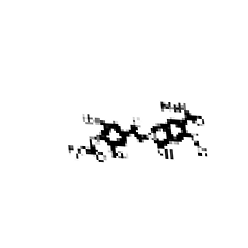 CCOc1cc2c(cc1C(=O)NC)CN(CC(=O)c1cc(C(C)(C)C)c(OC(=O)C(F)(F)F)c(C(C)(C)C)c1)C2=N